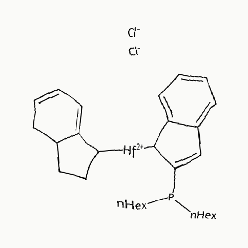 CCCCCCP(CCCCCC)C1=Cc2ccccc2[CH]1[Hf+2][CH]1CCC2CC=CC=C21.[Cl-].[Cl-]